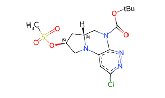 CC(C)(C)OC(=O)N1C[C@H]2C[C@H](OS(C)(=O)=O)CN2c2cc(Cl)nnc21